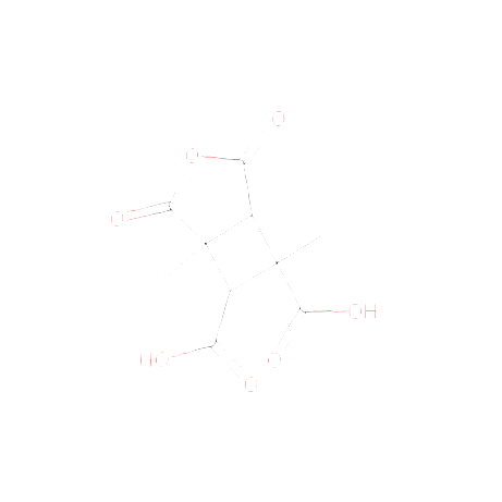 CC1(C(=O)O)C(C(=O)O)C2(C)C(=O)OC(=O)C12